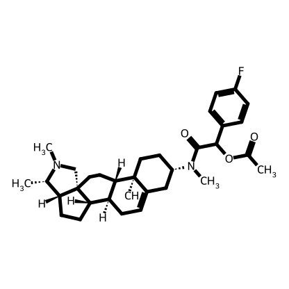 CC(=O)OC(C(=O)N(C)[C@H]1CC[C@@]2(C)C(=CC[C@H]3[C@@H]4CC[C@@H]5[C@H](C)N(C)C[C@@]54CC[C@@H]32)C1)c1ccc(F)cc1